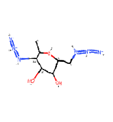 CC1OC(CN=[N+]=[N-])C(O)C(O)C1N=[N+]=[N-]